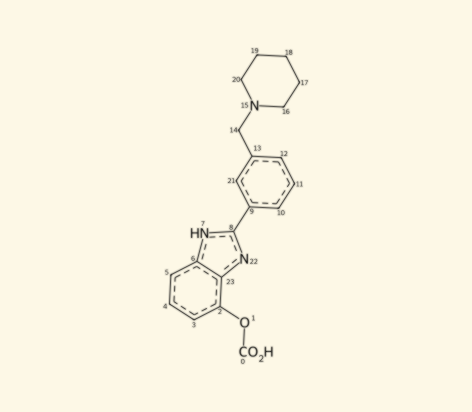 O=C(O)Oc1cccc2[nH]c(-c3cccc(CN4CCCCC4)c3)nc12